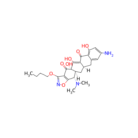 CCCCOc1noc2c1C(=O)[C@@]1(O)C(O)=C3C(=O)c4c(O)cc(N)cc4C[C@H]3C[C@H]1[C@@H]2N(C)C